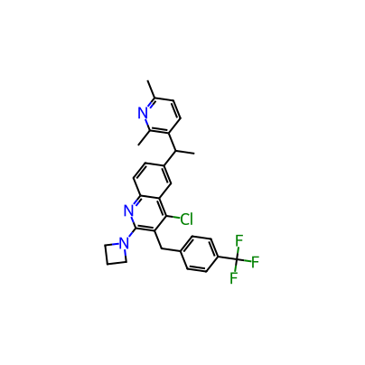 Cc1ccc(C(C)c2ccc3nc(N4CCC4)c(Cc4ccc(C(F)(F)F)cc4)c(Cl)c3c2)c(C)n1